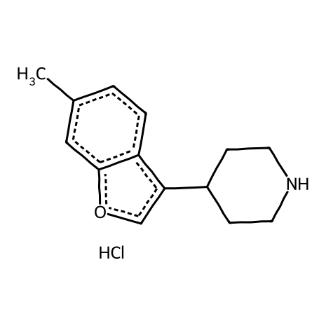 Cc1ccc2c(C3CCNCC3)coc2c1.Cl